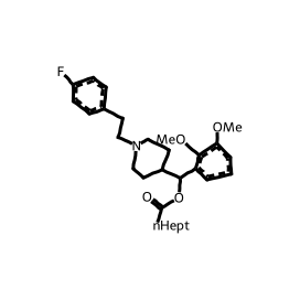 CCCCCCCC(=O)OC(c1cccc(OC)c1OC)C1CCN(CCc2ccc(F)cc2)CC1